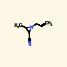 C=CCN1C(C)C1C#N